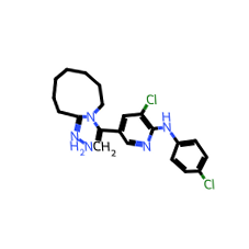 C=C(c1cnc(Nc2ccc(Cl)cc2)c(Cl)c1)N1CCCCCCC/C1=N/N